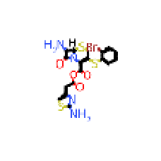 Nc1nc(CC(=O)OC(=O)C2=C(Sc3ccccc3Br)CS[C@H]3C(N)C(=O)N23)cs1